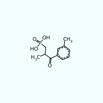 Cc1cccc(C(=O)C(C)CP(=O)(O)O)c1